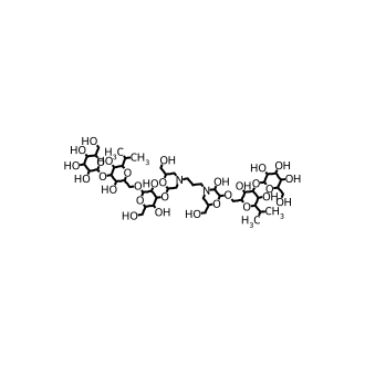 CC(C)C1OC(COC2OC(CO)C(O)C(OC3CN(CCCN4CC(CO)OC(OCC5OC(C(C)C)C(O)C(OC6OC(CO)C(O)C(O)C6O)C5O)C4O)CC(CO)O3)C2O)C(O)C(OC2OC(CO)C(O)C(O)C2O)C1O